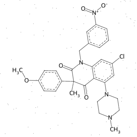 COc1ccc(C2(C)C(=O)c3c(N4CCN(C)CC4)cc(Cl)cc3N(Cc3cccc([N+](=O)[O-])c3)C2=O)cc1